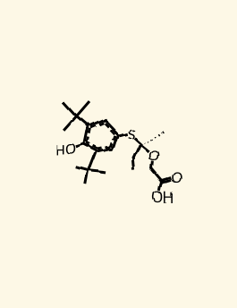 CC[C@](C)(OCC(=O)O)Sc1cc(C(C)(C)C)c(O)c(C(C)(C)C)c1